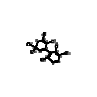 ClC1=C(Cl)C(c2c(Cl)ccc(Cl)c2Cl)=CC(Cl)(Cl)C1